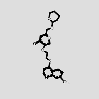 O=c1cc(COC2CCCCO2)occ1OCCSc1ccnc2cc(C(F)(F)F)ccc12